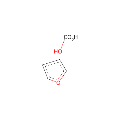 O=C(O)O.c1ccoc1